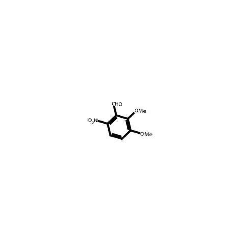 COc1ccc([N+](=O)[O-])c(C=O)c1OC